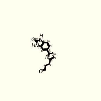 O=CCCc1csc(-c2ccc3[nH]c(=O)[nH]c3c2)n1